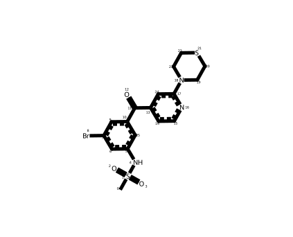 CS(=O)(=O)Nc1cc(Br)cc(C(=O)c2ccnc(N3CCSCC3)c2)c1